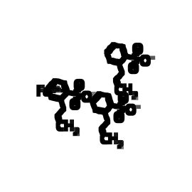 C=CCc1ccccc1S(=O)(=O)[O-].C=CCc1ccccc1S(=O)(=O)[O-].C=CCc1ccccc1S(=O)(=O)[O-].[Fe+3]